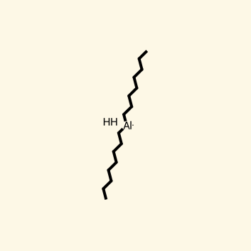 CCCCCCC[CH2][Al][CH2]CCCCCCC.[HH]